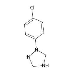 Clc1ccc(N2CNC[N]2)cc1